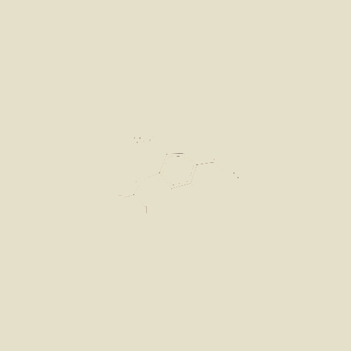 COc1cc(CC#N)ccc1OC(F)F